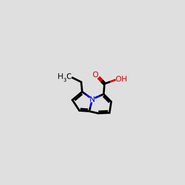 CCc1ccc2cccc(C(=O)O)n12